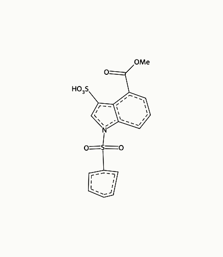 COC(=O)c1cccc2c1c(S(=O)(=O)O)cn2S(=O)(=O)c1ccccc1